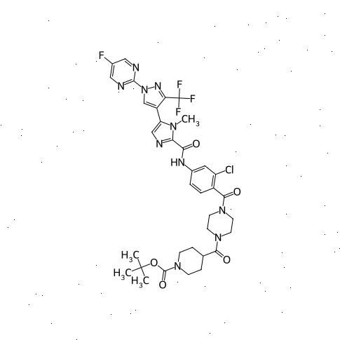 Cn1c(-c2cn(-c3ncc(F)cn3)nc2C(F)(F)F)cnc1C(=O)Nc1ccc(C(=O)N2CCN(C(=O)C3CCN(C(=O)OC(C)(C)C)CC3)CC2)c(Cl)c1